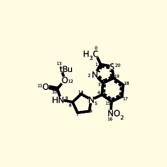 Cc1nc2c(N3CCC(NC(=O)OC(C)(C)C)C3)c([N+](=O)[O-])ccc2s1